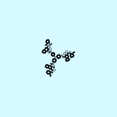 CCc1ccccc1N(C)OCc1cc2ccccc2c(N=Nc2ccc(N(c3ccc(N=Nc4c(OC)c(C(=O)N(C)c5ccccc5CC)cc5ccccc45)cc3)c3ccc(N=Nc4c(OC)c(C(=O)N(C)c5ccccc5CC)cc5ccccc45)cc3)cc2)c1OC